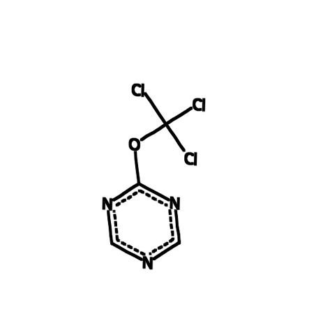 ClC(Cl)(Cl)Oc1ncncn1